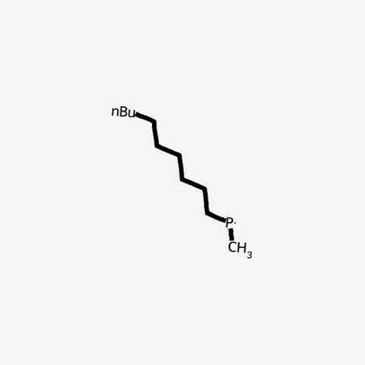 CCCCCCCCCC[P]C